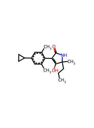 CCCC1(C)NC(=O)C(c2c(C)cc(C3CC3)cc2C)=C1O